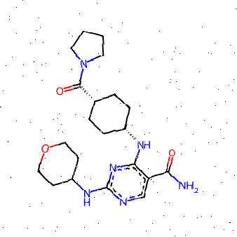 NC(=O)c1cnc(NC2CCOCC2)nc1N[C@H]1CC[C@@H](C(=O)N2CCCC2)CC1